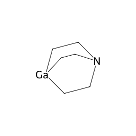 C1[CH2][Ga]2[CH2]CN1C[CH2]2